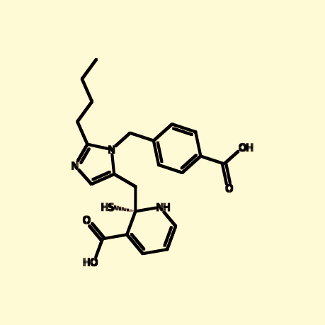 CCCCc1ncc(C[C@@]2(S)NC=CC=C2C(=O)O)n1Cc1ccc(C(=O)O)cc1